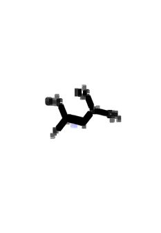 CN(C)/C=C(/F)C=O